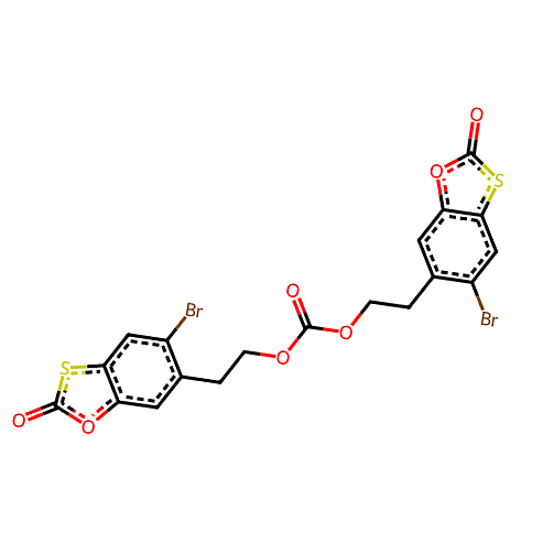 O=C(OCCc1cc2oc(=O)sc2cc1Br)OCCc1cc2oc(=O)sc2cc1Br